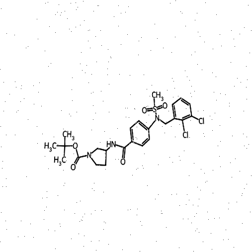 CC(C)(C)OC(=O)N1CCC(NC(=O)c2ccc(N(Cc3cccc(Cl)c3Cl)S(C)(=O)=O)cc2)C1